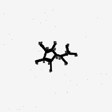 CC1=C(C)C(C(C)P(C)C)C(C)=C1C